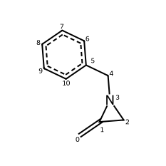 C=C1CN1Cc1ccccc1